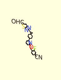 Cn1c(C2CC23CC=C(c2cccc(OCc4ccc(C#N)cc4F)n2)CC3)nc2sc(C=O)cc21